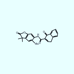 CC(C)(C)c1cc2c(cc1NC(=O)C1=CCc3ccccc3C1=O)OC(=O)C2(C)C